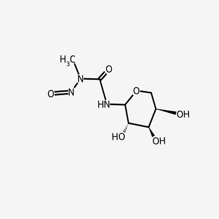 CN(N=O)C(=O)NC1OC[C@@H](O)[C@@H](O)[C@@H]1O